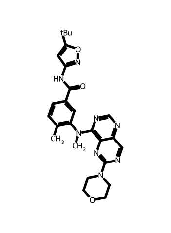 Cc1ccc(C(=O)Nc2cc(C(C)(C)C)on2)cc1N(C)c1ncnc2cnc(N3CCOCC3)nc12